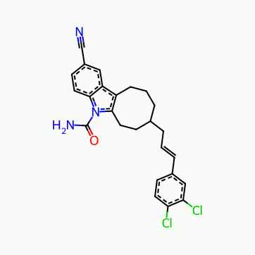 N#Cc1ccc2c(c1)c1c(n2C(N)=O)CCC(C/C=C/c2ccc(Cl)c(Cl)c2)CCC1